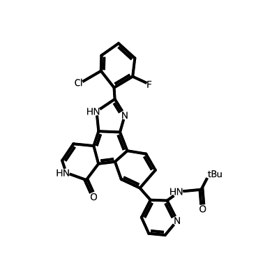 CC(C)(C)C(=O)Nc1ncccc1-c1ccc2c(c1)c1c(=O)[nH]ccc1c1[nH]c(-c3c(F)cccc3Cl)nc21